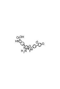 COc1ccc(-c2ccc(C(Oc3cc(N4CCC5(CC4)CN[C@H](C(=O)O)C5)nc(N)n3)C(F)(F)F)cc2)c(OC)c1